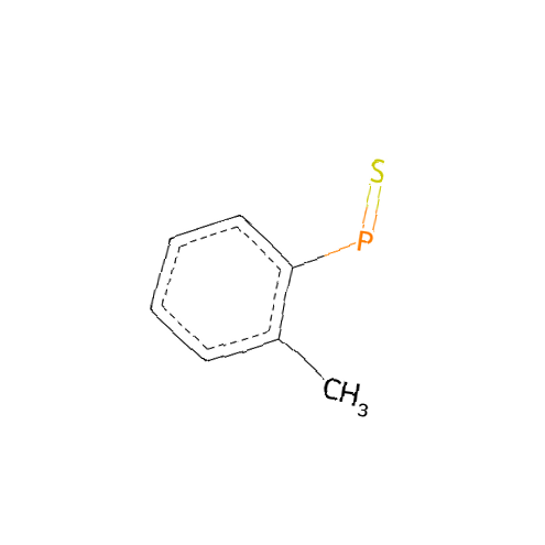 Cc1ccccc1P=S